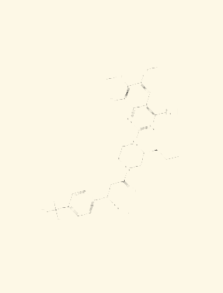 CCC[C@H]1CN(C(=O)C[C@@H](N)c2ccc(C(F)(F)F)cc2)CCN1c1nc(N)c2cc(OC)c(OC)c(F)c2n1